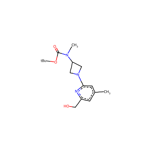 Cc1cc(CO)nc(N2CC(N(C)C(=O)OC(C)(C)C)C2)c1